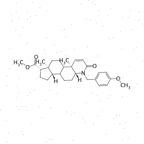 COC(=O)[C@H]1CC[C@H]2C3CC[C@H]4N(Cc5ccc(OC)cc5)C(=O)C=C[C@]4(C)C3CC[C@]12C